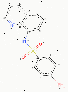 Bc1ccc(S(=O)(=O)Nc2cccc3cccnc23)cc1